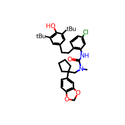 CN(CC1(c2ccc3c(c2)OCO3)CCCC1)C(=O)Nc1cc(Cl)ccc1CCc1cc(C(C)(C)C)c(O)c(C(C)(C)C)c1